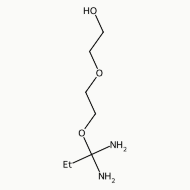 CCC(N)(N)OCCOCCO